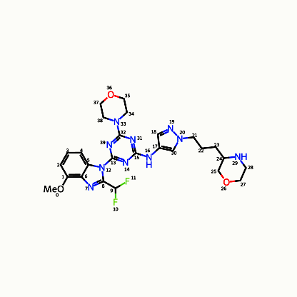 COc1cccc2c1nc(C(F)F)n2-c1nc(Nc2cnn(CCCC3COCCN3)c2)nc(N2CCOCC2)n1